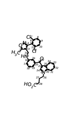 Cc1onc(-c2c(Cl)cccc2Cl)c1CNc1cccc(C(=O)c2cn(CCCC(=O)O)c3ccccc23)c1